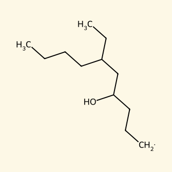 [CH2]CCC(O)CC(CC)CCCC